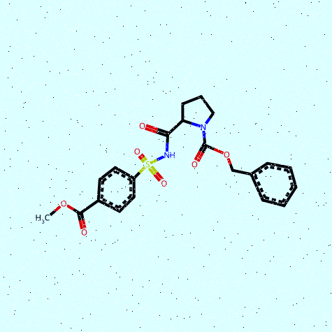 COC(=O)c1ccc(S(=O)(=O)NC(=O)C2CCCN2C(=O)OCc2ccccc2)cc1